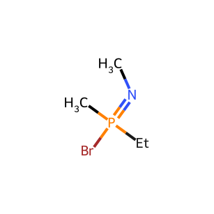 CCP(C)(Br)=NC